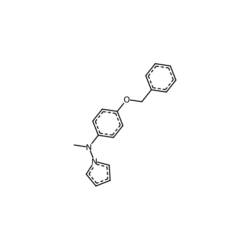 CN(c1ccc(OCc2ccccc2)cc1)n1cccc1